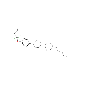 CCCCC[C@H]1CC[C@H](C2CCC(c3ccc(C(=O)C(F)(F)CCC)cc3)CC2)CC1